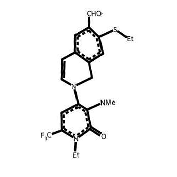 CCSc1cc2c(cc1[C]=O)C=CN(c1cc(C(F)(F)F)n(CC)c(=O)c1NC)C2